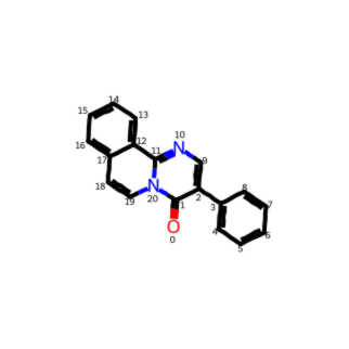 O=c1c(-c2ccccc2)cnc2c3ccccc3ccn12